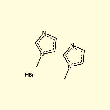 Br.Cn1ccnc1.Cn1ccnc1